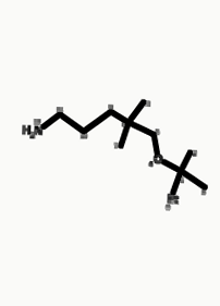 CCC(C)(C)OCC(C)(C)CCCN